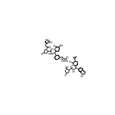 CC(=O)N1CC(F)CC1C(=O)NC(c1ccc2cn[nH]c2c1)c1ccc(C2CC2)c(F)n1.COC(=O)NCc1cccc(C(NC(=O)C2CC(F)CN2C(=O)Cc2cnn[nH]2)c2ccc(C(C)C)c(F)n2)c1